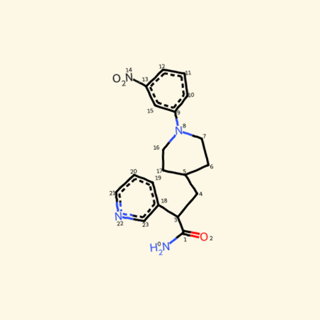 NC(=O)C(CC1CCN(c2cccc([N+](=O)[O-])c2)CC1)c1cccnc1